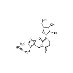 C#C/C=C\c1c(Cn2c(=O)ccn(C3OC(CO)C(O)C3O)c2=O)noc1C